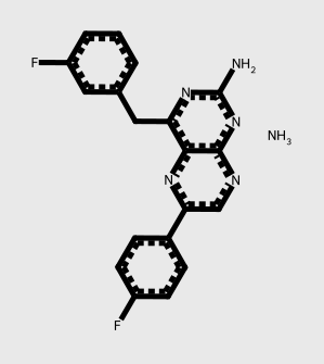 N.Nc1nc(Cc2cccc(F)c2)c2nc(-c3ccc(F)cc3)cnc2n1